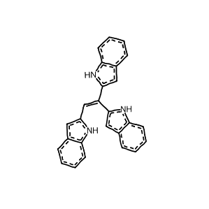 C(=C(c1cc2ccccc2[nH]1)c1cc2ccccc2[nH]1)c1cc2ccccc2[nH]1